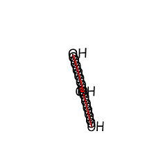 C=CC(=O)O.OCCOCCOCCOCCOCCOCCOCCOCCOCCOCCOCCOCCOCCOCCOCCOCCOCCOCCOCCOCCOCCOCCOCCO